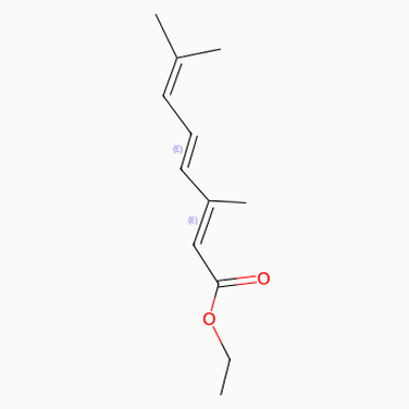 CCOC(=O)/C=C(C)/C=C/C=C(C)C